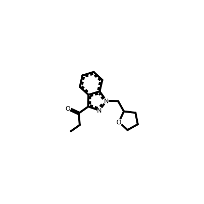 CCC(=O)c1nn(CC2CCCO2)c2ccccc12